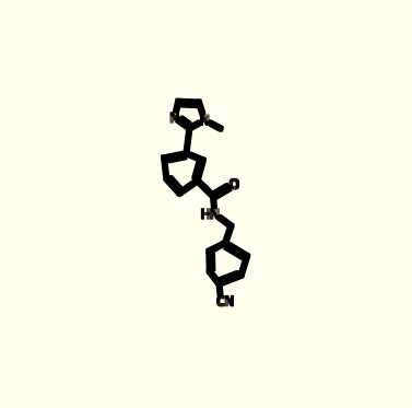 Cn1ccnc1-c1cccc(C(=O)NCc2ccc(C#N)cc2)c1